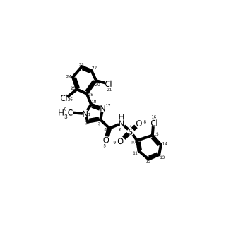 Cn1cc(C(=O)NS(=O)(=O)c2ccccc2Cl)nc1-c1c(Cl)cccc1Cl